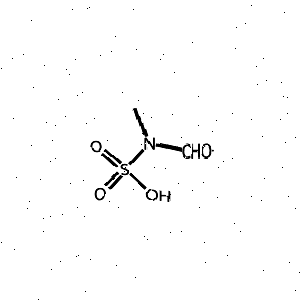 CN([C]=O)S(=O)(=O)O